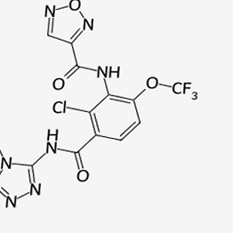 Cn1nnnc1NC(=O)c1ccc(OC(F)(F)F)c(NC(=O)c2cnon2)c1Cl